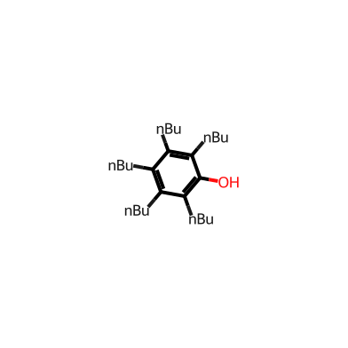 CCCCc1c(O)c(CCCC)c(CCCC)c(CCCC)c1CCCC